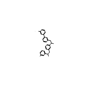 CCCc1cccc(-c2cccc(CC(C)c3cccc(CC(C)c4cccc(CCC)c4)c3)c2)c1